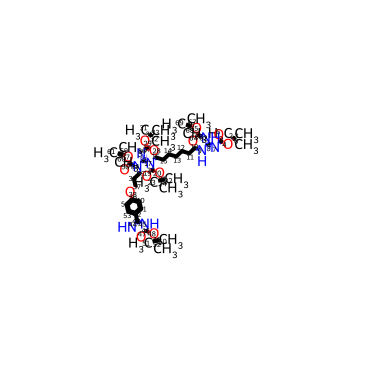 CC(C)(C)OC(=O)/N=C(/NCCCCCCCN(C(=O)OC(C)(C)C)/C(=N\C(=O)OC(C)(C)C)N(CCCOc1ccc(C(=N)NC(=O)OC(C)(C)C)cc1)C(=O)OC(C)(C)C)NC(=O)OC(C)(C)C